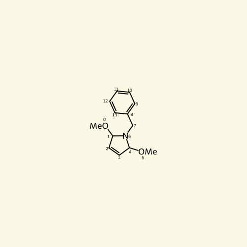 COC1C=CC(OC)N1Cc1ccccc1